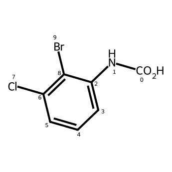 O=C(O)Nc1cccc(Cl)c1Br